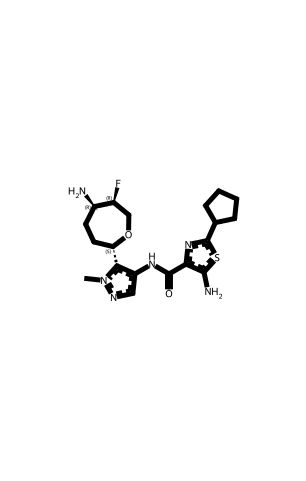 Cn1ncc(NC(=O)c2nc(C3CCCC3)sc2N)c1[C@@H]1CC[C@@H](N)[C@@H](F)CO1